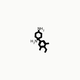 CCc1c(C)cc(C2(N)CCC(N)CC2)cc1C